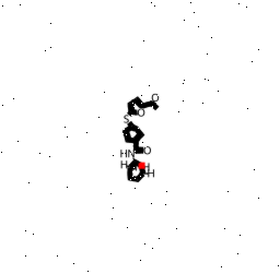 CC(=O)c1ccc(Sc2ccc(C(=O)N[C@@H]3C[C@H]4CC[C@@H]3N4)cc2)o1